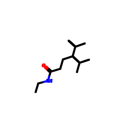 CCNC(=O)CCC(C(C)C)C(C)C